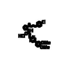 COc1ccc(-c2cnc(SCC(=O)N[C@@H]3CCC[C@H]3N(C)CCCc3ccc(Cl)cc3)nc2)cc1OC.Cl